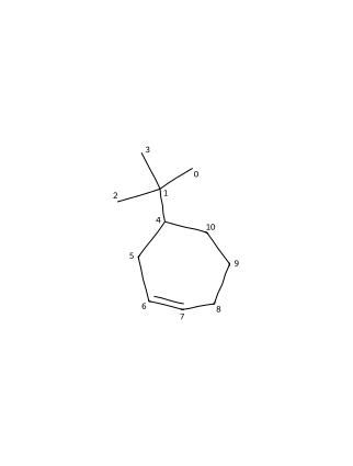 CC(C)(C)C1CC=CCCC1